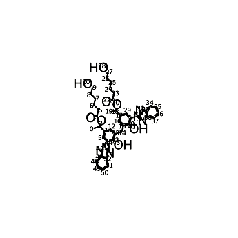 CC(OC(=O)CCCCCO)c1cc(Cc2cc(C(C)OC(=O)CCCCCO)cc(-n3nc4ccccc4n3)c2O)c(O)c(-n2nc3ccccc3n2)c1